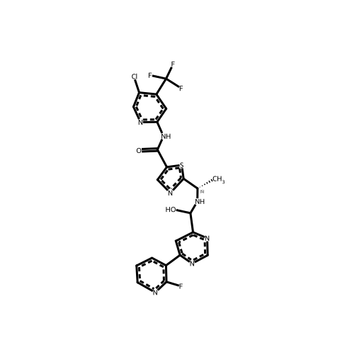 C[C@H](NC(O)c1cc(-c2cccnc2F)ncn1)c1ncc(C(=O)Nc2cc(C(F)(F)F)c(Cl)cn2)s1